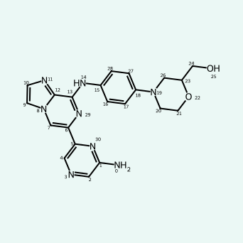 Nc1cncc(-c2cn3ccnc3c(Nc3ccc(N4CCOC(CO)C4)cc3)n2)n1